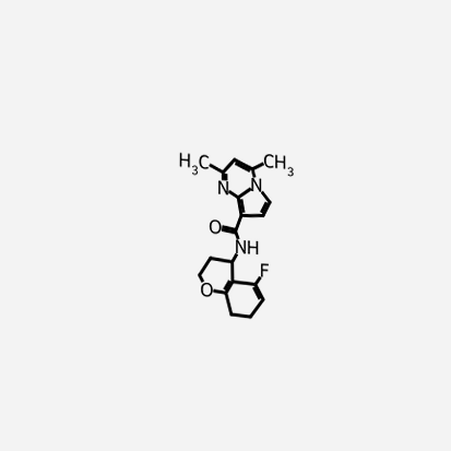 Cc1cc(C)n2ccc(C(=O)NC3CCOC4=C3C(F)=CCC4)c2n1